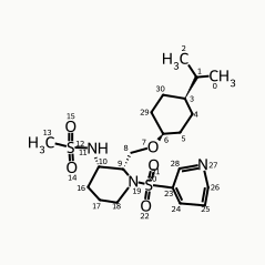 CC(C)[C@H]1CC[C@@H](OC[C@H]2[C@@H](NS(C)(=O)=O)CCCN2S(=O)(=O)c2cccnc2)CC1